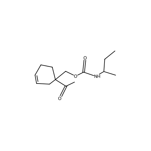 CCC(C)NC(=O)OCC1(C(C)=O)CC=CCC1